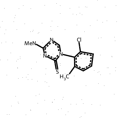 CNc1ncn(-c2c(C)cccc2Cl)c(=S)n1